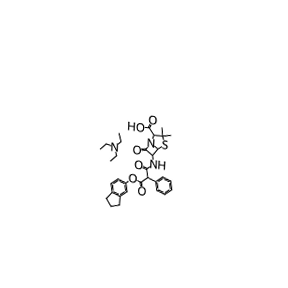 CC1(C)SC2C(NC(=O)C(C(=O)Oc3ccc4c(c3)CCC4)c3ccccc3)C(=O)N2C1C(=O)O.CCN(CC)CC